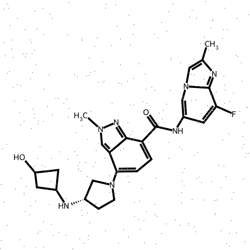 Cc1cn2cc(NC(=O)c3ccc(N4CC[C@H](NC5CC(O)C5)C4)c4cn(C)nc34)cc(F)c2n1